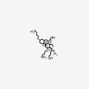 CCCCO[C@@H]1CC2C[C@H](OCCCN)CC[C@]2(C)[C@H]2C[C@H](OCCCN)[C@]3(C)[C@@H]([C@H](C)CCCO)CC[C@H]3C12